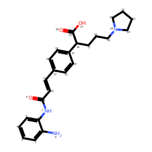 Nc1ccccc1NC(=O)C=Cc1ccc(C(CCCN2CCCC2)C(=O)O)cc1